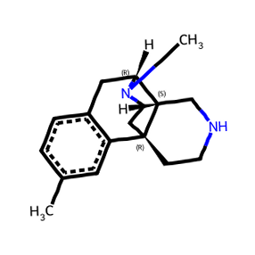 Cc1ccc2c(c1)[C@@]13CCNC[C@H]1[C@@H](C2)N(C)CC3